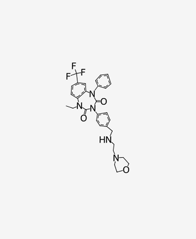 CCN1C(=O)N(c2ccc(CNCCN3CCOCC3)cc2)C(=O)N(c2ccccc2)c2cc(C(F)(F)F)ccc21